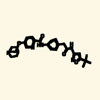 CC(C)(C)c1cc(NC(=O)Cc2ccc(NC(=O)c3ccc(OC4CN5CCC4CC5)cn3)cc2)no1